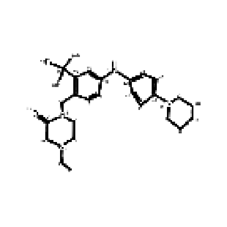 CCN1CCN(Cc2ccc(Nc3ccc(N4CCCCC4)cc3)cc2C(F)(F)F)C(=O)C1